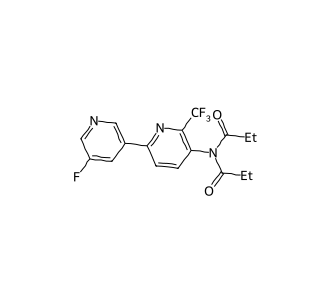 CCC(=O)N(C(=O)CC)c1ccc(-c2cncc(F)c2)nc1C(F)(F)F